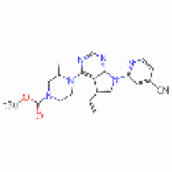 C=Cc1cn(-c2cc(C#N)ccn2)c2ncnc(N3CCN(C(=O)OC(C)(C)C)CC3C)c12